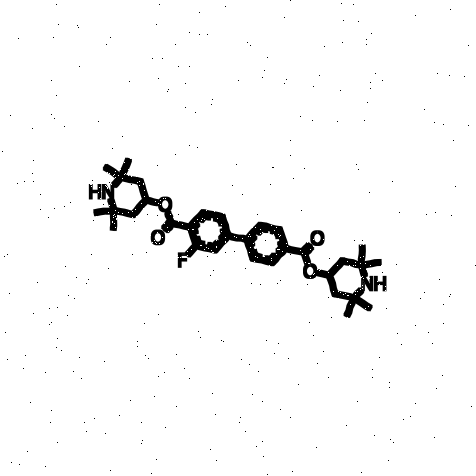 CC1(C)CC(OC(=O)c2ccc(-c3ccc(C(=O)OC4CC(C)(C)NC(C)(C)C4)c(F)c3)cc2)CC(C)(C)N1